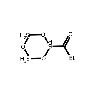 CCC(=O)[SiH]1O[SiH2]O[SiH2]O1